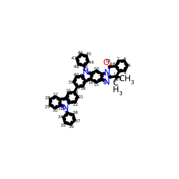 CC1(C)c2ccccc2C(=O)n2c1nc1cc3c4cc(-c5ccc6c(c5)c5ccccc5n6-c5ccccc5)ccc4n(-c4ccccc4)c3cc12